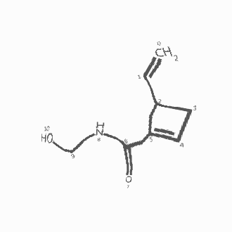 C=CC1CC=C1C(=O)NCO